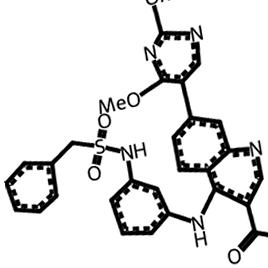 COc1ncc(-c2ccc3c(Nc4cccc(NS(=O)(=O)Cc5ccccc5)c4)c(C(N)=O)cnc3c2)c(OC)n1